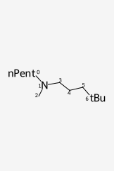 CCCCCN(C)CCCC(C)(C)C